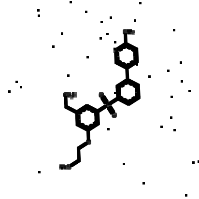 COCCOc1cc(CC(=O)O)cc(S(=O)(=O)c2cccc(-c3ccc(OC)nc3)c2)c1